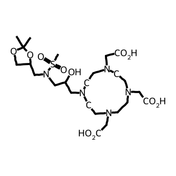 CC1(C)OCC(CN(CC(O)CN2CCN(CC(=O)O)CCN(CC(=O)O)CCN(CC(=O)O)CC2)S(C)(=O)=O)O1